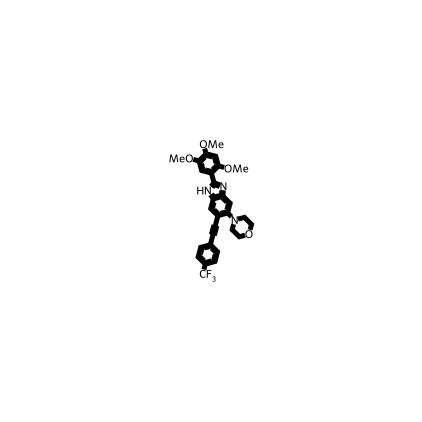 COc1cc(OC)c(-c2nc3cc(N4CCOCC4)c(C#Cc4ccc(C(F)(F)F)cc4)cc3[nH]2)cc1OC